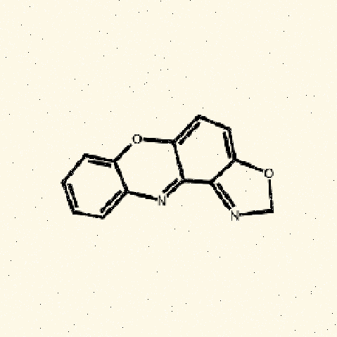 c1ccc2c(c1)N=c1c(ccc3c1=NCO3)O2